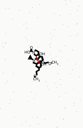 COCCCc1cc(CN(C(=O)[C@H]2CN(C(=O)O)CC[C@]2(O)c2ccc(O)nc2)C2CC2)cc(OCCOC)c1